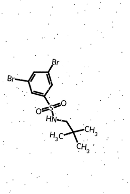 CC(C)(C)CNS(=O)(=O)c1cc(Br)cc(Br)c1